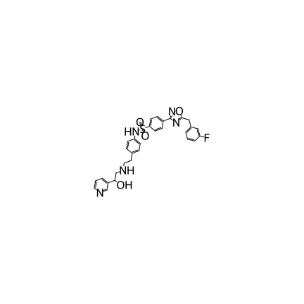 O=S(=O)(Nc1ccc(CCNCC(O)c2cccnc2)cc1)c1ccc(-c2noc(Cc3cccc(F)c3)n2)cc1